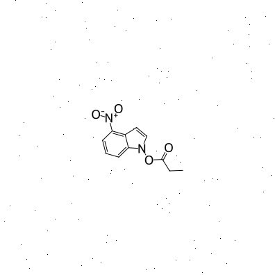 CCC(=O)On1ccc2c([N+](=O)[O-])cccc21